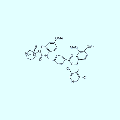 COc1ccc(N(Cc2ccc(C(=O)O[C@@H](Cc3c(Cl)cncc3Cl)c3ccc(OC)c(OC)c3)cc2)C(=O)O[C@H]2CN3CCC2CC3)c(F)c1